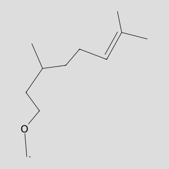 [CH2]OCCC(C)CCC=C(C)C